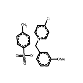 COc1cccc(C[n+]2ccc(Cl)cc2)c1.Cc1ccc(S(=O)(=O)[O-])cc1